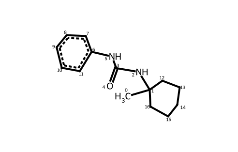 CC1(NC(=O)Nc2ccccc2)CCCCC1